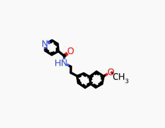 COc1ccc2ccc(CCNC(=O)c3ccncc3)cc2c1